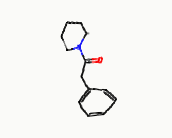 O=C(Cc1ccccc1)N1[CH]CCCC1